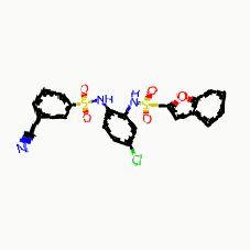 N#Cc1cccc(S(=O)(=O)Nc2ccc(Cl)cc2NS(=O)(=O)c2cc3ccccc3o2)c1